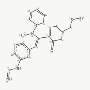 CC(C)SCC1CC=C(/C(=C/c2ccnc(NN=N)c2)N(N)C2C=CC=CC2)C(=O)C1